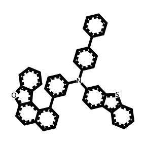 c1ccc(-c2ccc(N(c3cccc(-c4cccc5ccc6oc7ccccc7c6c45)c3)c3ccc4c(c3)sc3ccccc34)cc2)cc1